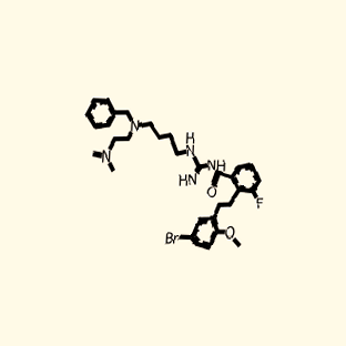 COc1ccc(Br)cc1CCc1c(F)cccc1C(=O)NC(=N)NCCCCN(CCN(C)C)Cc1ccccc1